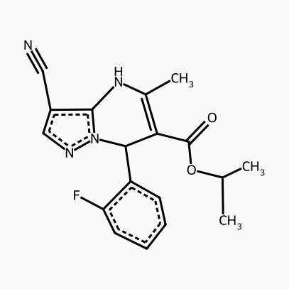 CC1=C(C(=O)OC(C)C)C(c2ccccc2F)n2ncc(C#N)c2N1